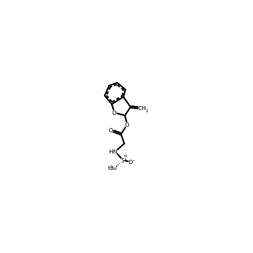 C=C1c2ccccc2OC1OC(=O)CN[S@+]([O-])C(C)(C)C